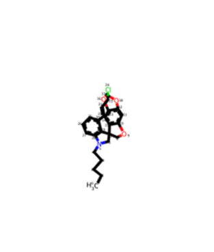 CCCCCN1CC2(COc3cc4c(cc32)OCO4)c2c(C=CCCl)cccc21